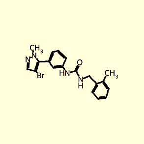 Cc1ccccc1CNC(=O)Nc1cccc(-c2c(Br)cnn2C)c1